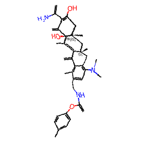 C=C(NCc1cc(N(C)C)c2c(c1C)C(=C)C1=C(C)[C@]3(O)C(=C)C(C(=C)N)=C(O)C[C@]3(C)C[C@]1(C)C2)Oc1ccc(C)cc1